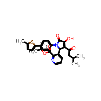 Cc1ccc(-c2ccc(N3C(=O)C(O)=C(C(=O)CC(C)C)C3c3cccnc3C(=O)OC(C)C)cc2)s1